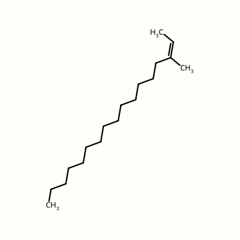 CC=C(C)CCCCCCCCCCCCCC